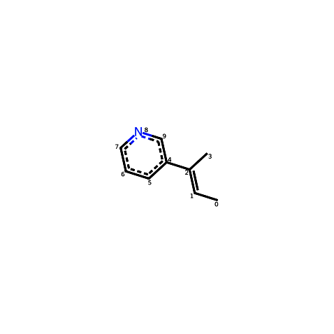 C/C=C(\C)c1cccnc1